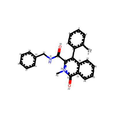 CCc1ccccc1-c1c(C(=O)NCc2ccccc2)n(C)c(=O)c2ccccc12